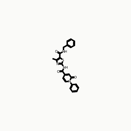 Cc1nc(NC(=O)c2ccn(-c3ccccc3)c(=O)c2)sc1C(=O)NCc1ccccc1